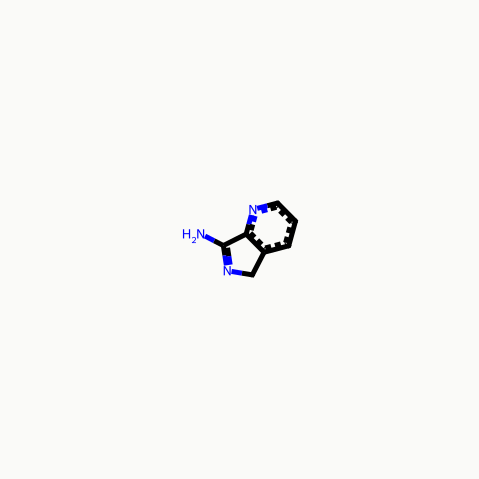 NC1=NCc2cccnc21